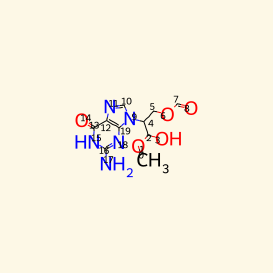 COC(O)C(COC=O)n1cnc2c(=O)[nH]c(N)nc21